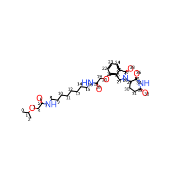 CC(C)OCC(=O)NCCCCCCCCNC(=O)COc1cccc2c1CN(C1CCC(=O)NC1=O)C2=O